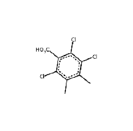 Cc1c(C)c(Cl)c(C(=O)O)c(Cl)c1Cl